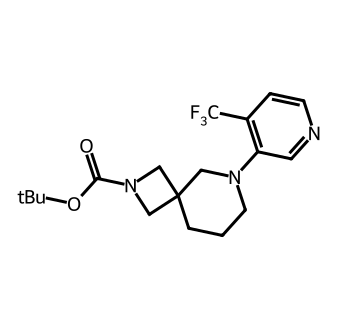 CC(C)(C)OC(=O)N1CC2(CCCN(c3cnccc3C(F)(F)F)C2)C1